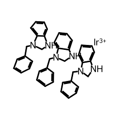 [Ir+3].c1ccc(CN2CNc3ccccc32)cc1.c1ccc(CN2CNc3ccccc32)cc1.c1ccc(CN2CNc3ccccc32)cc1